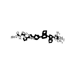 COC(=O)NC(C(=O)N1CCCC1c1ncc(-c2ccc(-c3ccc(-c4ccc(B5OC(C)(C)C(C)(C)O5)c5c4C4CCC5C4)c4c3C3CCC4C3)cc2)[nH]1)C(C)C